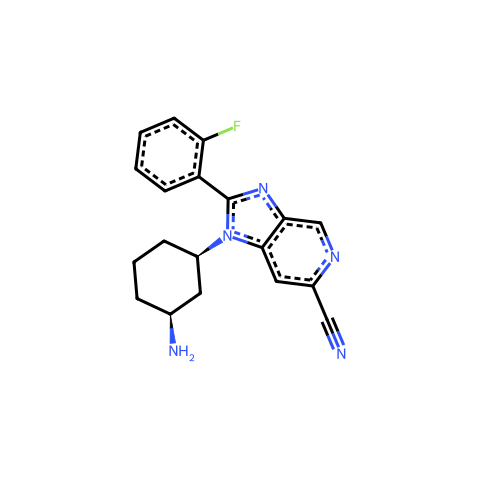 N#Cc1cc2c(cn1)nc(-c1ccccc1F)n2[C@@H]1CCC[C@H](N)C1